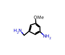 COc1cc(N)cc(CN)c1